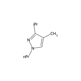 CCCn1cc(C)c(C(C)C)n1